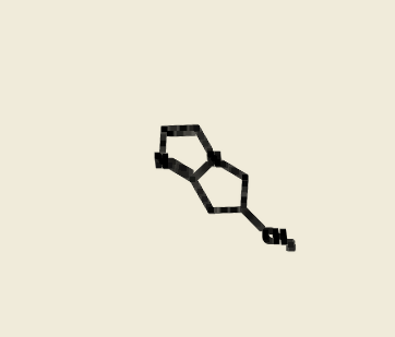 CC1Cc2nccn2C1